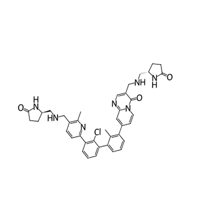 Cc1nc(-c2cccc(-c3cccc(-c4ccn5c(=O)c(CNC[C@@H]6CCC(=O)N6)cnc5c4)c3C)c2Cl)ccc1CNC[C@H]1CCC(=O)N1